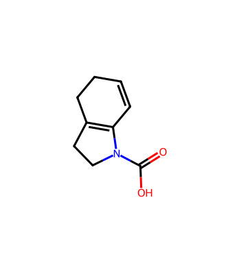 O=C(O)N1CCC2=C1C=CCC2